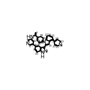 C=C(Nc1cncc(-c2ccc3[nH]nc(-c4cc5c(-c6ccncc6)cccc5[nH]4)c3c2)c1)C1CCCCC1